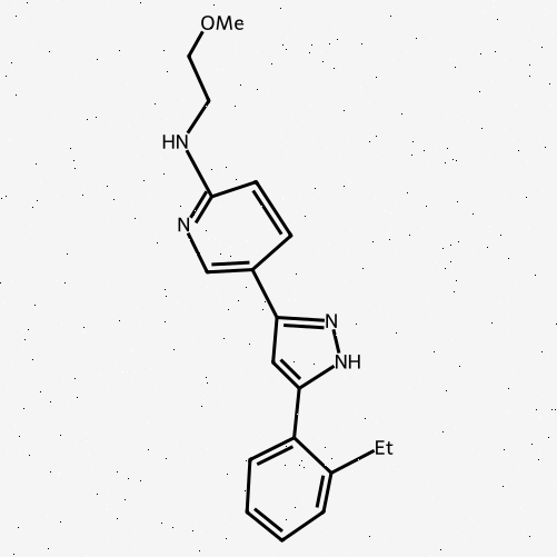 CCc1ccccc1-c1cc(-c2ccc(NCCOC)nc2)n[nH]1